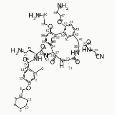 Cc1cc(OCC2CCCCC2)ccc1C(=O)N[C@@H](CCN)C(=O)N(C)[C@@H]1C(=O)N[C@@H](C)C(=O)N[C@H](C(=O)NCC#N)Cc2ccc(OCCN)c(c2)-c2cc1ccc2OCCN